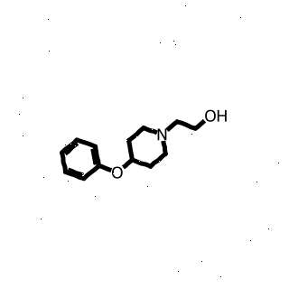 OCCN1CCC(Oc2ccccc2)CC1